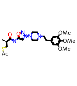 COc1cc(CCN2CCN([n+]3cc([N-]C(=O)[C@H](C)CSC(C)=O)on3)CC2)cc(OC)c1OC